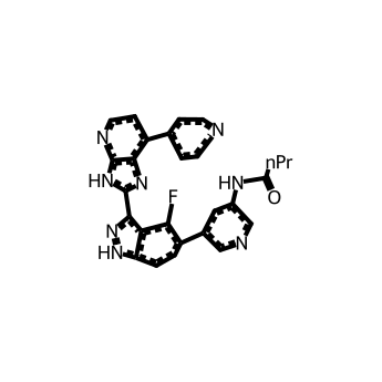 CCCC(=O)Nc1cncc(-c2ccc3[nH]nc(-c4nc5c(-c6ccncc6)ccnc5[nH]4)c3c2F)c1